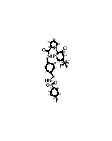 O=C(NCc1ccc(CNS(=O)(=O)c2ccc(F)cc2)cc1)c1cccn1-c1ncc(C(F)(F)F)cc1Cl